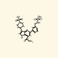 CCCCS(=O)(=O)NCc1cccc(-c2cc(C(N)=O)c3[nH]cc(C4CCN(S(=O)(=O)CC)CC4)c3c2)c1